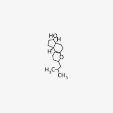 CC(C)CC1CCC2=C(CC[C@@H]3C(O)CC[C@@H]23)O1